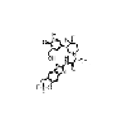 C[C@@H](C(=O)Nc1nc2cc3c(cc2s1)OC(F)(F)O3)N1CCC(F)(F)C(c2c[nH]c(=O)c(CO)c2)C1